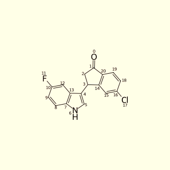 O=C1CC(c2c[nH]c3ccc(F)cc23)c2cc(Cl)ccc21